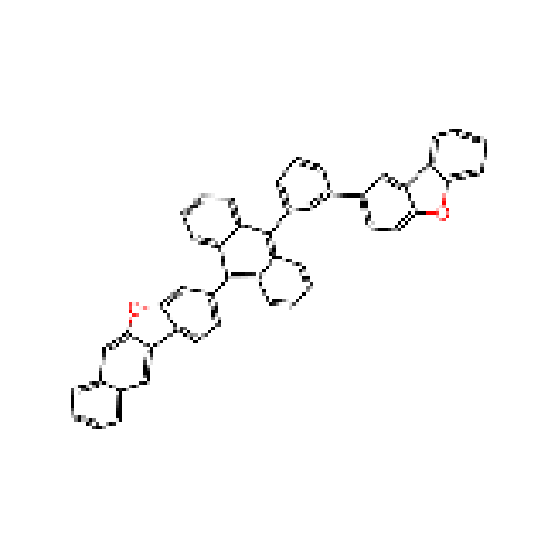 c1cc(-c2ccc3oc4ccccc4c3c2)cc(-c2c3ccccc3c(-c3ccc4c(c3)oc3cc5ccccc5cc34)c3ccccc23)c1